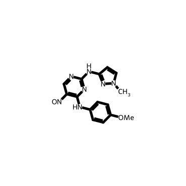 COc1ccc(Nc2nc(Nc3ccn(C)n3)ncc2N=O)cc1